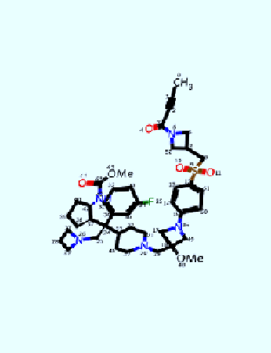 CC#CC(=O)N1CC(CS(=O)(=O)c2ccc(N3CC(CN4CCC([C@@](CN5CCC5)(c5cccc(F)c5)[C@H]5CCC[C@@H]5NC(=O)OC)CC4)(OC)C3)cc2)C1